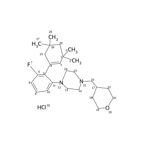 CC1(C)C=C(c2c(F)cccc2N2CCN(CC3CCOCC3)CC2)CC(C)(C)C1.Cl